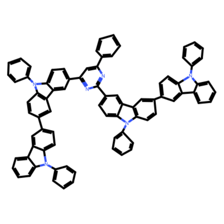 c1ccc(-c2cc(-c3ccc4c(c3)c3cc(-c5ccc6c(c5)c5ccccc5n6-c5ccccc5)ccc3n4-c3ccccc3)nc(-c3ccc4c(c3)c3cc(-c5ccc6c(c5)c5ccccc5n6-c5ccccc5)ccc3n4-c3ccccc3)n2)cc1